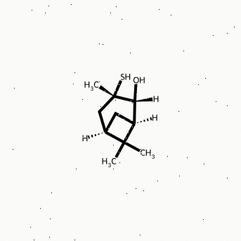 CC1(C)[C@@H]2C[C@H]1[C@@H](O)[C@@](C)(S)C2